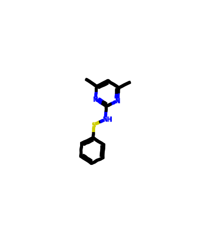 Cc1cc(C)nc(NSc2ccccc2)n1